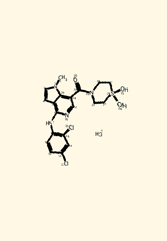 Cl.Cn1ccc2c(Nc3ccc(Cl)cc3Cl)ncc(C(=O)N3CCS(O)(O)CC3)c21